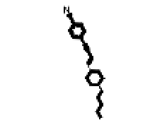 CCCCC[C@H]1CC[C@H](/C=C/C#Cc2ccc(C#N)cc2)CC1